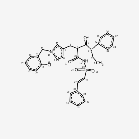 CCN(C(=O)C(Cc1cnn(Cc2ccccc2Cl)c1)C(=O)NS(=O)(=O)/C=C/c1ccccc1)c1ccccc1